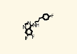 Fc1ccc(CCCNc2ncnc3cc(F)c(F)cc23)cc1